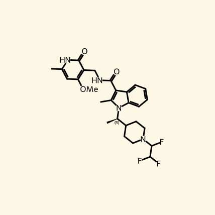 COc1cc(C)[nH]c(=O)c1CNC(=O)c1c(C)n([C@H](C)C2CCN(C(F)C(F)F)CC2)c2ccccc12